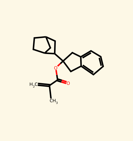 C=C(C)C(=O)OC1(C2CC3CCC2C3)Cc2ccccc2C1